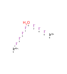 O.[I-].[I-].[I-].[I-].[I-].[I-].[I-].[Ir+3].[Ir+4]